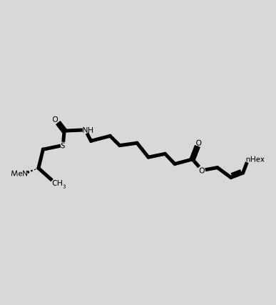 CCCCCC/C=C\COC(=O)CCCCCCCNC(=O)SC[C@H](C)NC